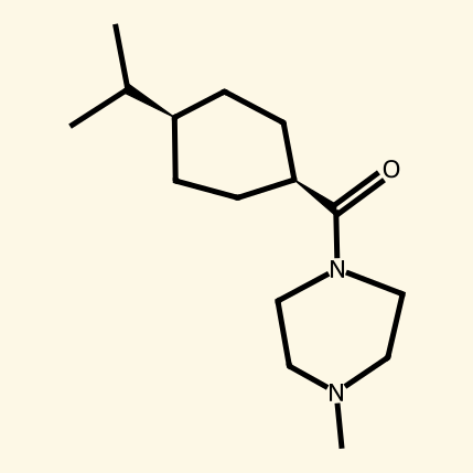 CC(C)[C@H]1CC[C@@H](C(=O)N2CCN(C)CC2)CC1